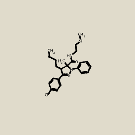 CCCCC1C(c2ccc(Cl)cc2)=NN(c2ccccc2)C1(C)C(=O)NCCOC